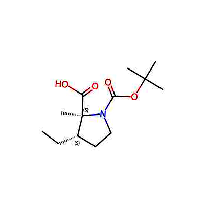 CC[C@H]1CCN(C(=O)OC(C)(C)C)[C@]1(C)C(=O)O